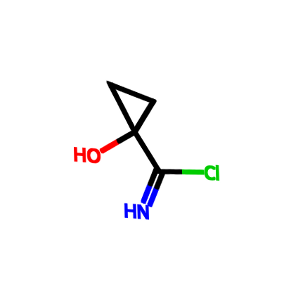 N=C(Cl)C1(O)CC1